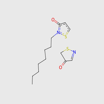 CCCCCCCCn1sccc1=O.O=C1C=NSC1